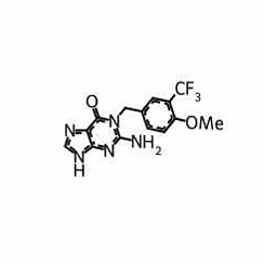 COc1ccc(Cn2c(N)nc3[nH]cnc3c2=O)cc1C(F)(F)F